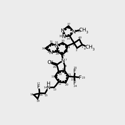 CC1CC(c2cc(N3Cc4c(cc(CNCC5(F)CC5)cc4C(F)(F)F)C3=O)c3nccn3c2)(c2nncn2C)C1